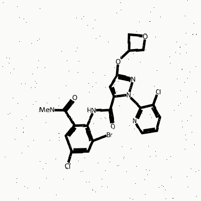 CNC(=O)c1cc(Cl)cc(Br)c1NC(=O)c1cc(OC2COC2)nn1-c1ncccc1Cl